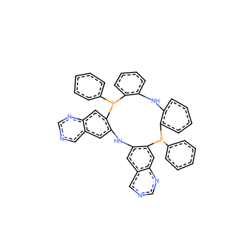 c1ccc(P2c3ccccc3Nc3ccccc3P(c3ccccc3)c3cc4ncncc4cc3Nc3cc4cncnc4cc32)cc1